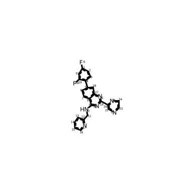 Fc1ccc(-c2ccc3c(NCc4ccccn4)nc(-c4cnccn4)nc3c2)c(F)c1